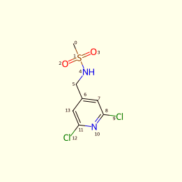 CS(=O)(=O)NCc1cc(Cl)nc(Cl)c1